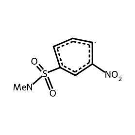 CNS(=O)(=O)c1cc[c]c([N+](=O)[O-])c1